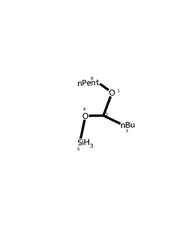 CCCCCOC(CCCC)O[SiH3]